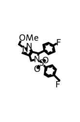 COCn1cc2c(n1)C(c1ccc(F)cc1)N(S(=O)(=O)c1ccc(CF)cc1)C2